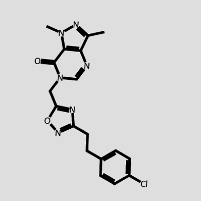 Cc1nn(C)c2c(=O)n(Cc3nc(CCc4ccc(Cl)cc4)no3)cnc12